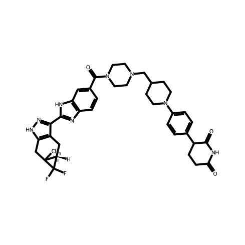 CC12Cc3[nH]nc(-c4nc5ccc(C(=O)N6CCN(CC7CCN(c8ccc(C9CCC(=O)NC9=O)cc8)CC7)CC6)cc5[nH]4)c3C[C@@H]1C2(F)F